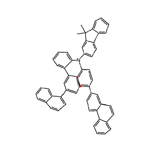 CC1(C)c2ccccc2-c2ccc(N(c3ccc(-c4ccc5c(ccc6ccccc65)c4)cc3)c3ccccc3-c3cccc(-c4cccc5ccccc45)c3)cc21